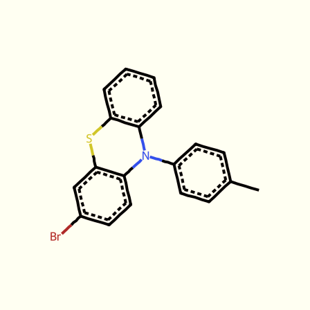 Cc1ccc(N2c3ccccc3Sc3cc(Br)ccc32)cc1